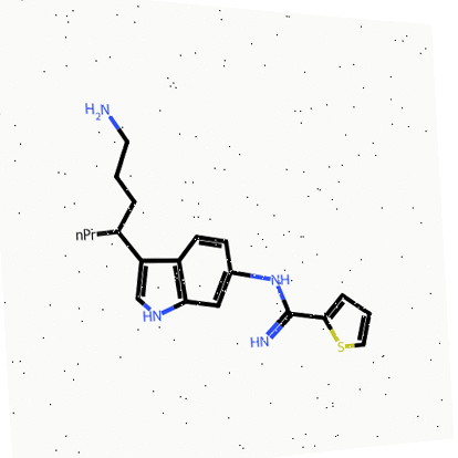 CCCC(CCCN)c1c[nH]c2cc(NC(=N)c3cccs3)ccc12